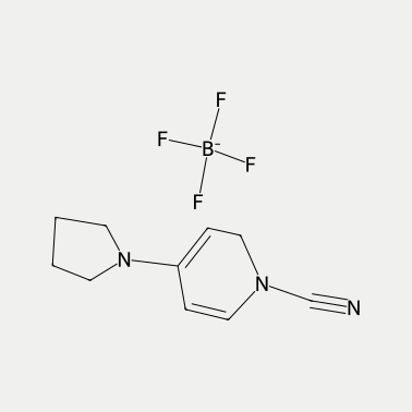 F[B-](F)(F)F.N#CN1C=CC(N2CCCC2)=CC1